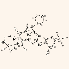 CCc1c(N2CCN[C@@H]3CC[C@H]32)c(=O)n2nc(C3=CCOCC3)nc2n1CC(=O)Nc1ccc(C(F)(F)F)cc1Cl